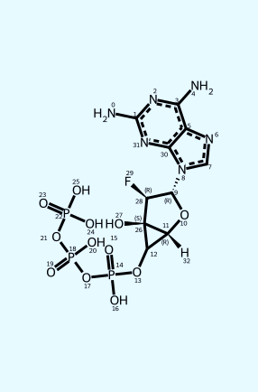 Nc1nc(N)c2ncn([C@@H]3O[C@@H]4C(OP(=O)(O)OP(=O)(O)OP(=O)(O)O)[C@]4(O)[C@H]3F)c2n1